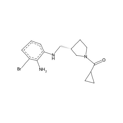 Nc1c(Br)cccc1NC[C@@H]1CCN(C(=O)C2CC2)C1